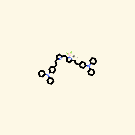 C[N@@+]1(B(F)F)C(/C=C2/C=CC(/C=C/c3ccc(N(c4ccccc4)c4ccccc4)cc3)=N2)=CC=C1/C=C/c1ccc(N(c2ccccc2)c2ccccc2)cc1